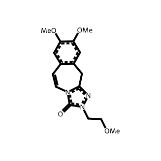 COCCn1nc2n(c1=O)C=Cc1cc(OC)c(OC)cc1C2